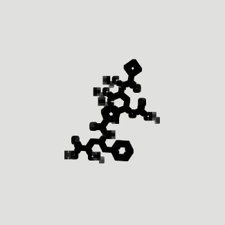 CC(=O)OC(CC(C(C)C)N(C)C(=O)C1CCC1)c1nc(C(=O)NC(Cc2ccccc2)CC(C)C(=O)O)cs1